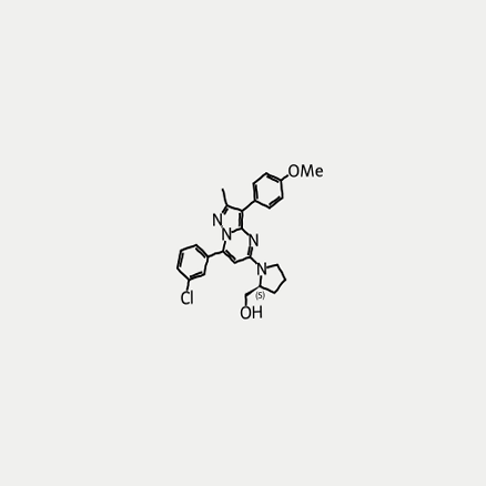 COc1ccc(-c2c(C)nn3c(-c4cccc(Cl)c4)cc(N4CCC[C@H]4CO)nc23)cc1